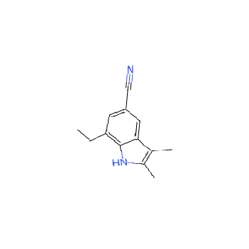 CCc1cc(C#N)cc2c(C)c(C)[nH]c12